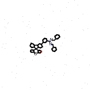 C(=N\C(=N/Cc1ccccc1)c1cccc(-c2ccc3c(c2)-c2ccccc2C32c3ccccc3Oc3ccccc32)c1)/c1ccccc1